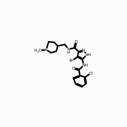 CN1CCC(CNC(=O)c2n[nH]c(NC(=O)c3ccccc3Cl)c2Br)CC1